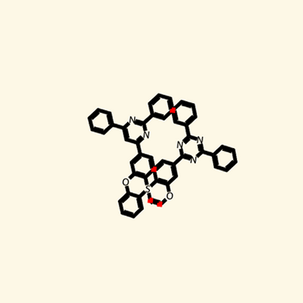 c1ccc(-c2cc(-c3ccc4c(c3)Oc3ccccc3S43c4ccccc4Oc4cc(-c5nc(-c6ccccc6)nc(-c6ccccc6)n5)ccc43)nc(-c3ccccc3)n2)cc1